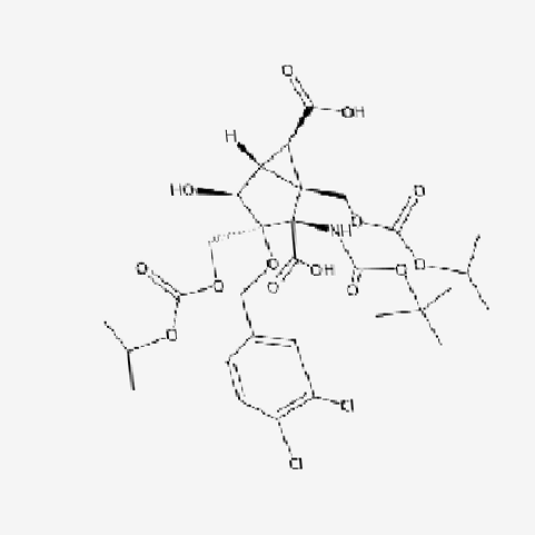 CC(C)OC(=O)OC[C@@]12[C@@H]([C@H]1C(=O)O)[C@H](O)[C@](COC(=O)OC(C)C)(OCc1ccc(Cl)c(Cl)c1)[C@@]2(NC(=O)OC(C)(C)C)C(=O)O